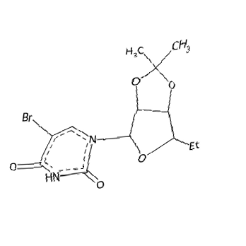 CCC1OC(n2cc(Br)c(=O)[nH]c2=O)C2OC(C)(C)OC12